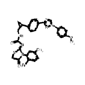 Cc1ccc(C(C)C)c(N2C(=O)CS/C2=N\C(=O)NCC2CC2c2ccc(-c3ncn(-c4ccc(OC(F)(F)F)cc4)n3)cc2)c1